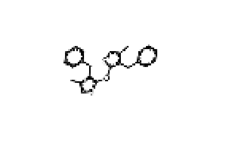 Cc1csc(Oc2scc(C)c2Cc2ccccc2)c1Cc1ccccc1